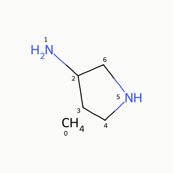 C.NC1CCNC1